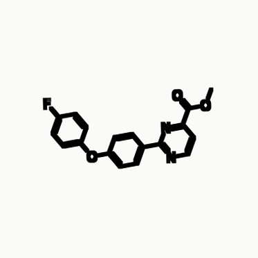 COC(=O)c1ccnc(-c2ccc(Oc3ccc(F)cc3)cc2)n1